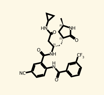 C[C@@H]1C[C@@H](C[C@@H](CC(=O)NC2CC2)NC(=O)c2cc(C#N)ccc2NC(=O)c2cccc(C(F)(F)F)c2)C(=O)N1